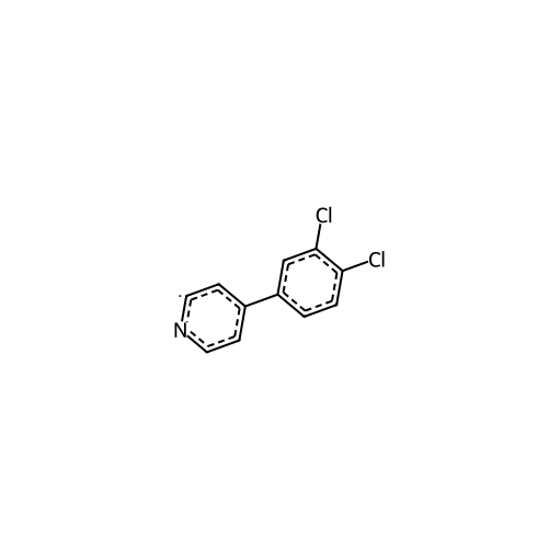 Clc1ccc(-c2c[c]ncc2)cc1Cl